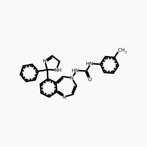 Cc1cccc(NC(=O)NN2C=CN=c3cccc(C4(c5ccccc5)N=CCN4)c3=C2)c1